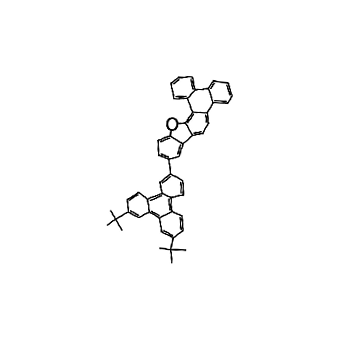 CC(C)(C)c1ccc2c3ccc(-c4ccc5oc6c(ccc7c8ccccc8c8ccccc8c76)c5c4)cc3c3ccc(C(C)(C)C)cc3c2c1